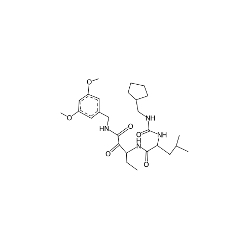 CCC(NC(=O)C(CC(C)C)NC(=O)NCC1CCCC1)C(=O)C(=O)NCc1cc(OC)cc(OC)c1